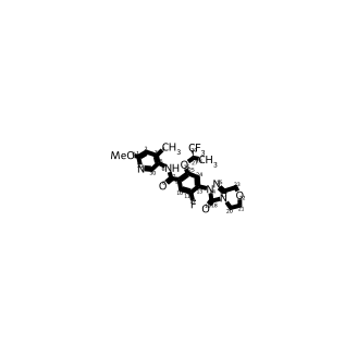 COc1cc(C)c(NC(=O)c2cc(F)c(-n3nc4n(c3=O)CCOC4)cc2O[C@@H](C)C(F)(F)F)cn1